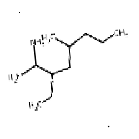 CCCC(C)CC(CC)C(N)N